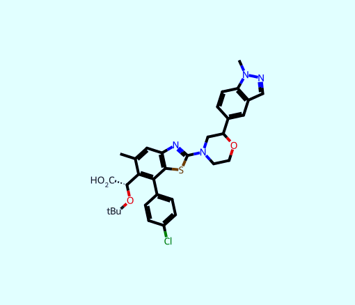 Cc1cc2nc(N3CCOC(c4ccc5c(cnn5C)c4)C3)sc2c(-c2ccc(Cl)cc2)c1[C@H](OC(C)(C)C)C(=O)O